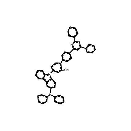 N#Cc1cc(-n2c3ccccc3c3cc(N(c4ccccc4)c4ccccc4)ccc32)ccc1-c1ccc(-c2cc(-c3ccccc3)nc(-c3ccccc3)n2)cc1